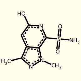 Cc1nn(C)c2c(S(N)(=O)=O)nc(O)cc12